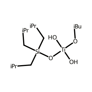 CCC(C)[O][Ti]([OH])([OH])[O][Si](CC(C)C)(CC(C)C)CC(C)C